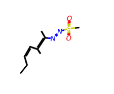 CC/C=C\C(C)=C(/C)N=NS(C)(=O)=O